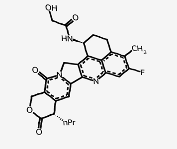 CCC[C@@H]1C(=O)OCc2c1cc1n(c2=O)Cc2c-1nc1cc(F)c(C)c3c1c2[C@@H](NC(=O)CO)CC3